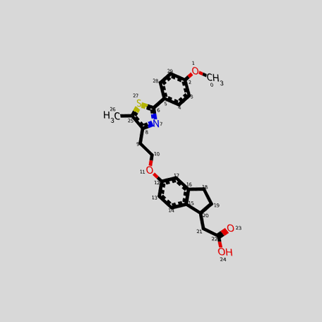 COc1ccc(-c2nc(CCOc3ccc4c(c3)CCC4CC(=O)O)c(C)s2)cc1